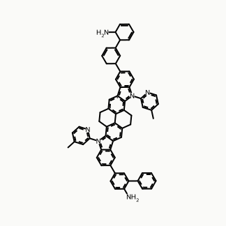 Cc1ccnc(-n2c3ccc(-c4ccc(N)c(-c5ccccc5)c4)cc3c3cc4c5c(c32)CCc2cc3c6cc(C7C=C(C8C=CC=CC8N)C=CC7)ccc6n(-c6cc(C)ccn6)c3c(c2-5)CC4)c1